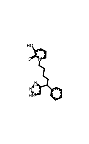 Oc1cccn(CCCCC(c2ccccc2)c2c[nH]nn2)c1=S